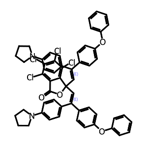 O=C1OC(/C=C(/c2ccc(Oc3ccccc3)cc2)c2ccc(N3CCCC3)cc2)(/C=C(/c2ccc(Oc3ccccc3)cc2)c2ccc(N3CCCC3)cc2)c2c(Cl)c(Cl)c(Cl)c(Cl)c21